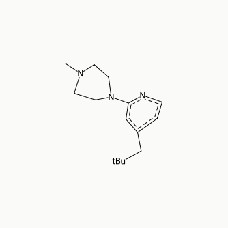 CN1CCN(c2cc(CC(C)(C)C)ccn2)CC1